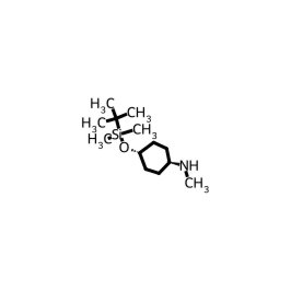 CN[C@H]1CC[C@H](O[Si](C)(C)C(C)(C)C)CC1